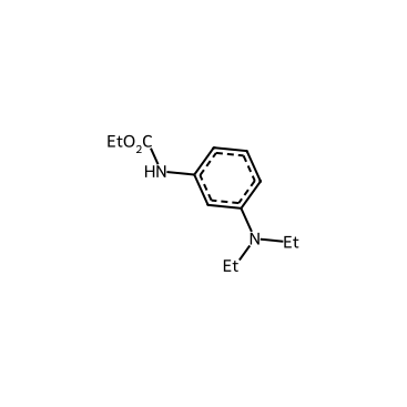 CCOC(=O)Nc1cccc(N(CC)CC)c1